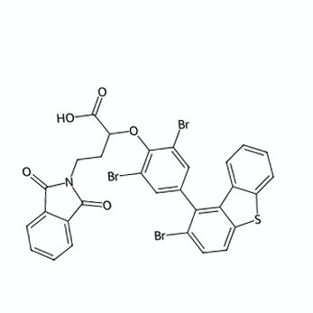 O=C(O)C(CCN1C(=O)c2ccccc2C1=O)Oc1c(Br)cc(-c2c(Br)ccc3sc4ccccc4c23)cc1Br